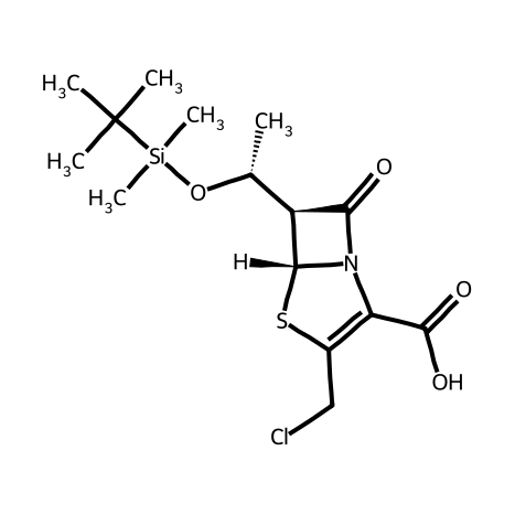 C[C@@H](O[Si](C)(C)C(C)(C)C)[C@H]1C(=O)N2C(C(=O)O)=C(CCl)S[C@H]12